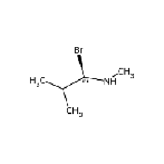 CN[C@H](Br)C(C)C